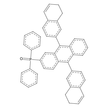 O=P(c1ccccc1)(c1ccccc1)c1ccc2c(-c3ccc4c(c3)CCC=C4)c3ccccc3c(-c3ccc4c(c3)CCC=C4)c2c1